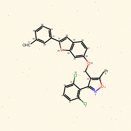 CC(C)c1onc(-c2c(Cl)cccc2Cl)c1COc1ccc2cc(-c3cccc(C=O)c3)sc2c1